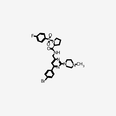 CN1CCN(c2nc(CNC(=O)[C@@H]3CCCN3S(=O)(=O)c3ccc(F)cc3)cc(-c3ccc(Br)cc3)n2)CC1